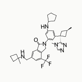 Cn1cnnc1[C@]1(c2cc(NC3CCCC3)cc(N3Cc4c(cc(CNC5(C)CCC5)cc4C(F)(F)F)C3=O)c2)C[C@@H](C)C1